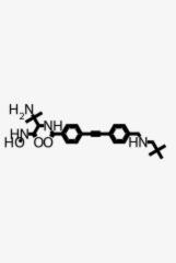 CC(C)(C)CNCc1ccc(C#Cc2ccc(C(=O)NC(C(=O)NO)C(C)(C)N)cc2)cc1